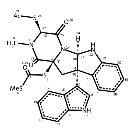 CSC(=O)S[C@]12C[C@]3(c4c[nH]c5ccccc45)c4ccccc4N[C@@H]3N1C(=O)[C@H](SC(C)=O)N(C)C2=O